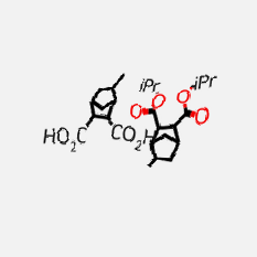 CC(C)OC(=O)C1C2CC(C)C(C2)C1C(=O)OC(C)C.CC1CC2CC1C(C(=O)O)C2C(=O)O